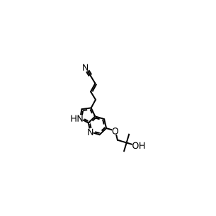 CC(C)(O)COc1cnc2[nH]cc(CC=CC#N)c2c1